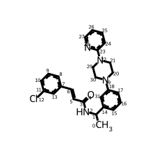 CC(NC(=O)C=Cc1cccc(Cl)c1)c1cccc(N2CCN(c3ccccn3)CC2)c1